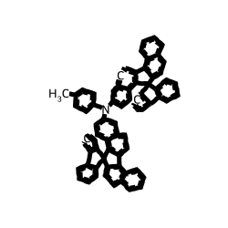 Cc1ccc(N(c2ccc3c4c(ccc3c2)-c2c(ccc3ccccc23)C42c3ccccc3-c3ccccc32)c2ccc3c4c(ccc3c2)-c2c(ccc3ccccc23)C42c3ccccc3-c3ccccc32)cc1